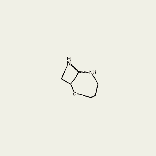 C1COC2CNC2N1